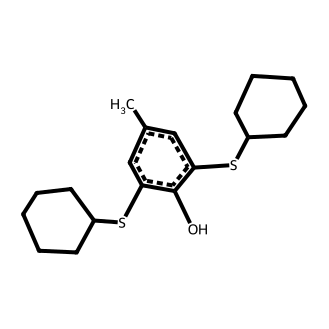 Cc1cc(SC2CCCCC2)c(O)c(SC2CCCCC2)c1